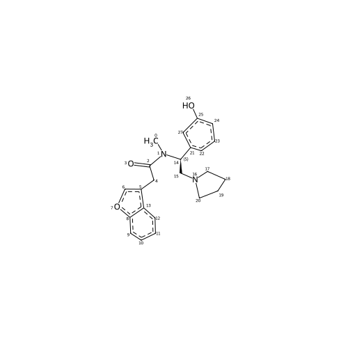 CN(C(=O)Cc1coc2ccccc12)[C@H](CN1CCCC1)c1cccc(O)c1